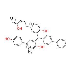 C=C(/C=C(\C(O)=C/C)C(C(=C/CC/C=C\C(O)=C/C)/C(O)=C\C)c1ccc(-c2ccccc2)cc1)c1ccc(O)cc1